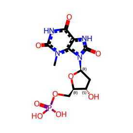 Cn1c(=O)[nH]c(=O)c2[nH]c(=O)n([C@H]3C[C@H](O)[C@@H](COP(=O)(O)O)O3)c21